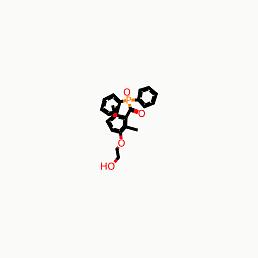 Cc1ccc(OCCO)c(C)c1C(=O)P(=O)(c1ccccc1)c1ccccc1